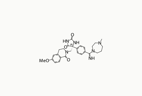 COc1ccc2c(c1)CCN(C[C@@]1(c3ccc(C(=N)N4CCCN(C)CC4)cc3)NC(=O)NC1=O)C2=O